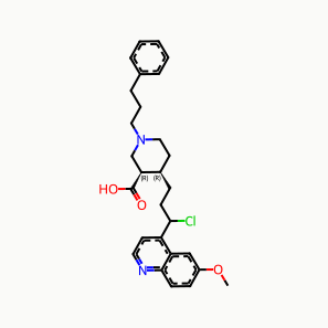 COc1ccc2nccc(C(Cl)CC[C@@H]3CCN(CCCc4ccccc4)C[C@@H]3C(=O)O)c2c1